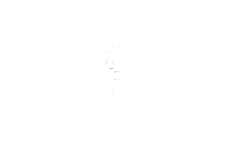 CCCCCC(OC(=O)C(C)C)Oc1ccc(-c2ccc(OC(CCCCC)OC(=O)C(C)C)cc2)cc1